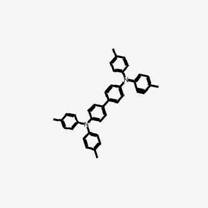 Cc1c#cc(N(c2ccc(C)cc2)c2ccc(-c3ccc(N(c4ccc(C)cc4)c4ccc(C)cc4)cc3)cc2)cc1